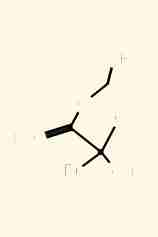 C=C(OCC(F)(F)F)C(C)(C)CC